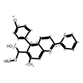 CCCCOC(C(=O)O)c1c(C)cc2nc(-c3ccccn3)ccc2c1-c1ccc(Cl)cc1